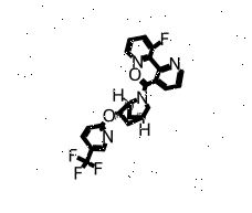 O=C(c1cccnc1-c1ncccc1F)N1C[C@H]2C[C@@H](Oc3ccc(C(F)(F)F)cn3)[C@@H]1C2